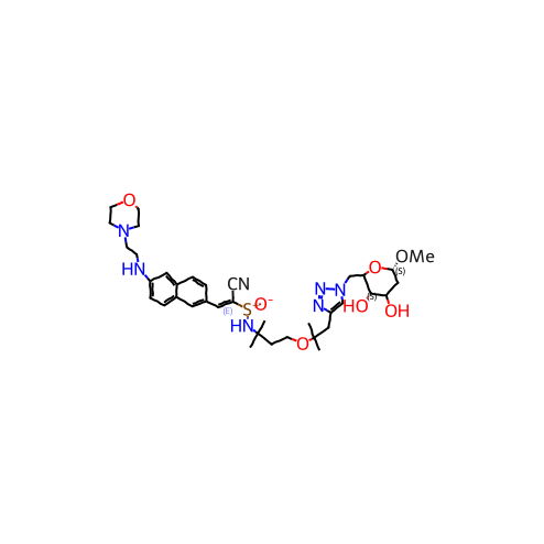 CO[C@@H]1CC(O)[C@H](O)C(Cn2cc(CC(C)(C)OCCC(C)(C)N[S+]([O-])/C(C#N)=C/c3ccc4cc(NCCN5CCOCC5)ccc4c3)nn2)O1